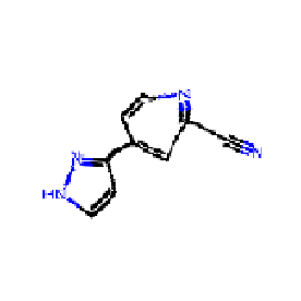 N#Cc1cc(-c2cc[nH]n2)ccn1